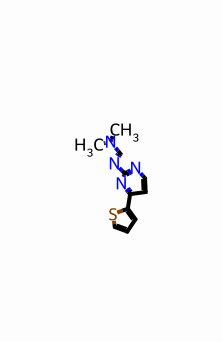 CN(C)/C=N/c1nccc(-c2cccs2)n1